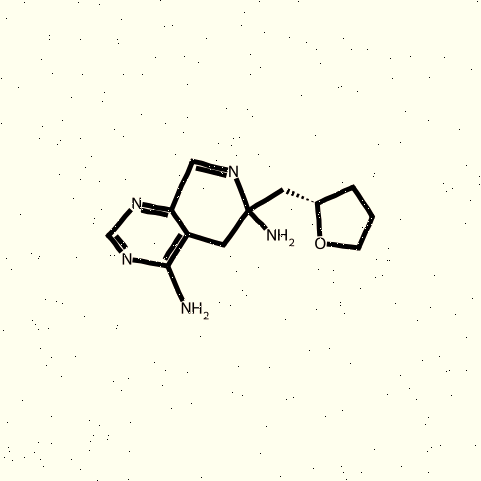 Nc1ncnc2c1CC(N)(C[C@@H]1CCCO1)N=C2